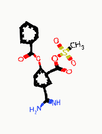 CS(=O)(=O)OC(=O)c1cc(C(=N)N)ccc1OC(=O)c1ccccc1